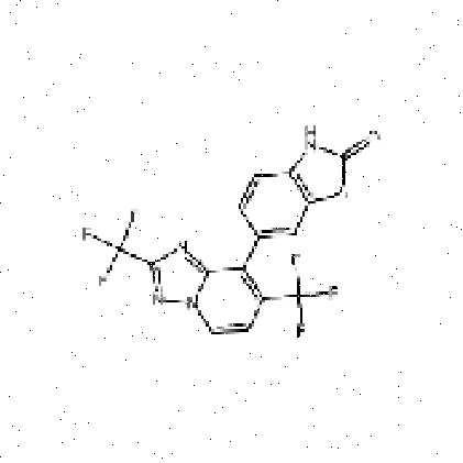 O=c1[nH]c2ccc(-c3c(C(F)(F)F)ccn4nc(C(F)(F)F)nc34)cc2s1